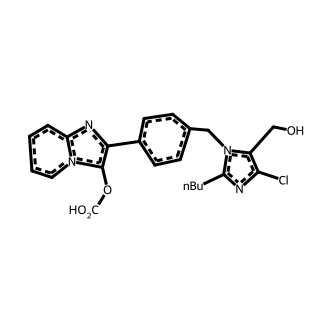 CCCCc1nc(Cl)c(CO)n1Cc1ccc(-c2nc3ccccn3c2OC(=O)O)cc1